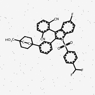 N#Cc1cccc(C#N)c1-c1c(-c2cccc(C34CCC(C(=O)O)(CC3)CC4)c2)n(S(=O)(=O)c2ccc(C(F)F)cc2)c2ccc(F)cc12